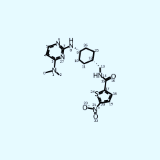 CN(C)c1ccnc(N[C@H]2CC[C@@H](CNC(=O)c3ccc([N+](=O)[O-])s3)CC2)n1